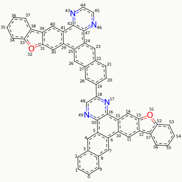 c1ccc2cc3c(cc2c1)c1cc2c(cc1c1nc(-c4ccc5cc6c(cc5c4)c4cc5oc7ccccc7c5cc4c4nccnc64)cnc31)oc1ccccc12